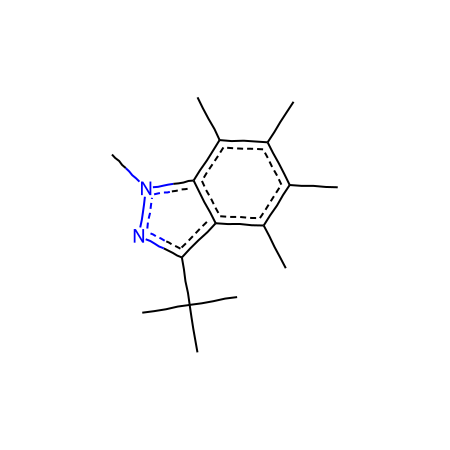 Cc1c(C)c(C)c2c(c(C(C)(C)C)nn2C)c1C